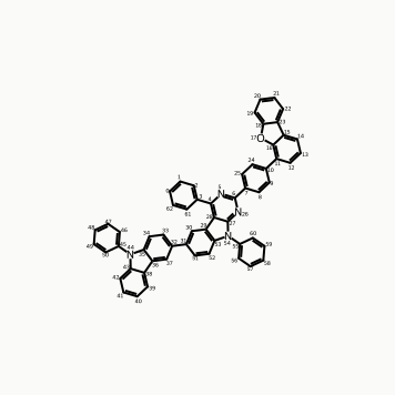 c1ccc(-c2nc(-c3ccc(-c4cccc5c4oc4ccccc45)cc3)nc3c2c2cc(-c4ccc5c(c4)c4ccccc4n5-c4ccccc4)ccc2n3-c2ccccc2)cc1